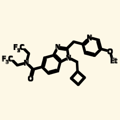 CCOc1ccc(Cc2nc3cc(C(=O)N(CC(F)(F)F)CC(F)(F)F)ccc3n2CC2CCC2)nc1